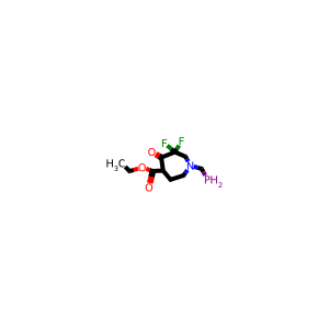 CCOC(=O)C1CCN(CP)CC(F)(F)C1=O